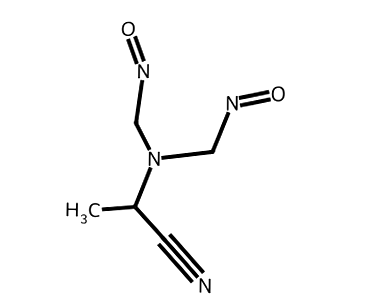 CC(C#N)N(CN=O)CN=O